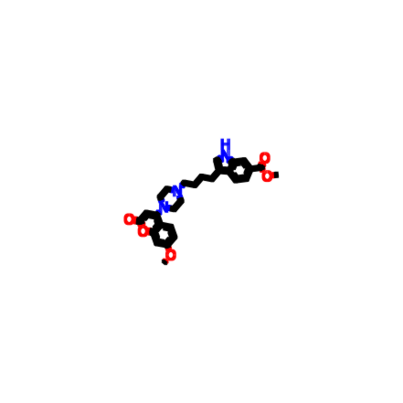 COC(=O)c1ccc2c(CCCCN3CCN(c4cc(=O)oc5cc(OC)ccc45)CC3)c[nH]c2c1